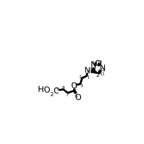 NCCCOC(=O)CCC(=O)O.c1cnon1